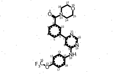 O=C(c1cccc(-c2cc(Nc3ccc(OC(F)(F)F)cc3)ncn2)c1)N1CCOCC1